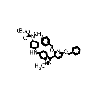 Cn1nc(-c2ccc(OCc3ccccc3)nc2OCc2ccccc2)c2ccc(N[C@H]3CC[C@@H](N(C)C(=O)OC(C)(C)C)CC3)cc21